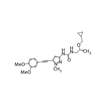 COc1ccc(C#Cc2cc(NC(=O)NC[C@H](C)OCC3CC3)nn2C)cc1OC